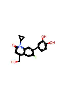 O=c1cc(CO)c2cc(F)c(-c3ccc(O)c(O)c3)cc2n1C1CC1